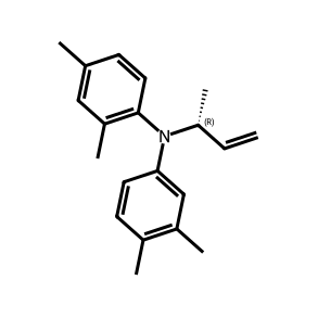 C=C[C@@H](C)N(c1ccc(C)c(C)c1)c1ccc(C)cc1C